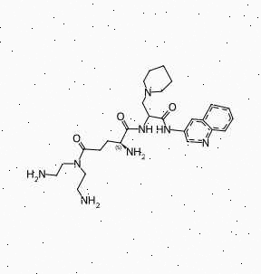 NCCN(CCN)C(=O)CC[C@H](N)C(=O)NC(CN1CCCCC1)C(=O)Nc1cnc2ccccc2c1